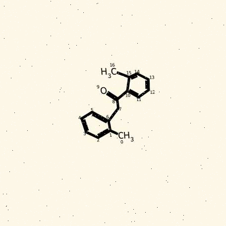 Cc1ccccc1CC(=O)c1ccccc1C